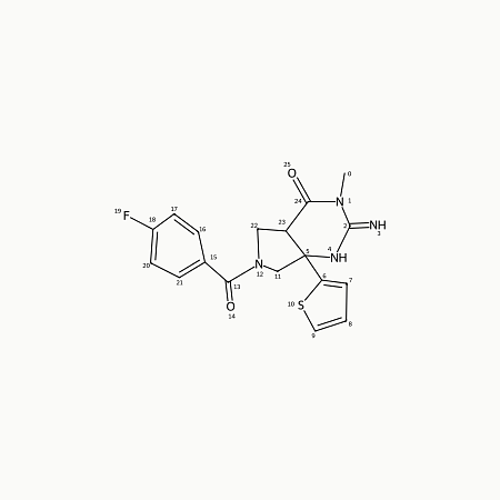 CN1C(=N)NC2(c3cccs3)CN(C(=O)c3ccc(F)cc3)CC2C1=O